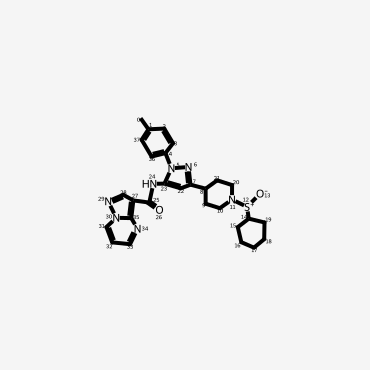 Cc1ccc(-n2nc(C3CCN([S+]([O-])C4CCCCC4)CC3)cc2NC(=O)c2cnn3cccnc23)cc1